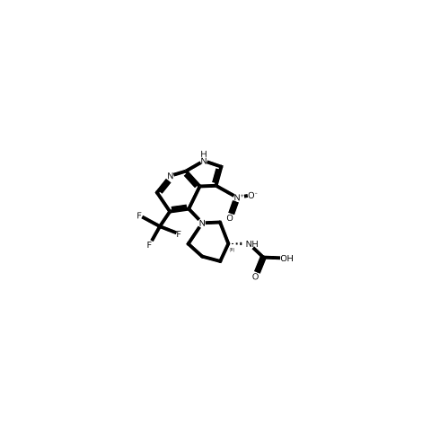 O=C(O)N[C@@H]1CCCN(c2c(C(F)(F)F)cnc3[nH]cc([N+](=O)[O-])c23)C1